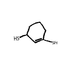 SC1=CC(S)[CH]CC1